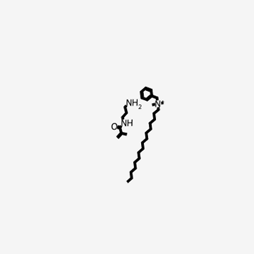 C=C(C)C(=O)NCCCN.CCCCCCCCCCCCCCCC[N+](C)(C)Cc1ccccc1